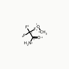 C[O].NC(=O)C(F)(F)F